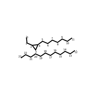 [CH2]CC1CC1CCCCCCC.[CH2]CCCCCCCCCCC